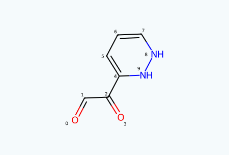 O=CC(=O)C1=CC=CNN1